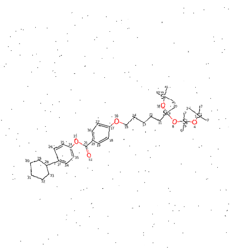 C[Si](C)(C)O[Si](C)(C)O[Si](C)(CCCCCOc1ccc(C(=O)Oc2ccc(C3CCCCC3)cc2)cc1)O[Si](C)(C)C